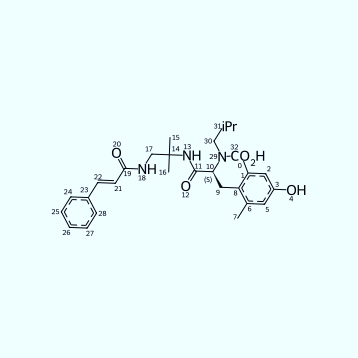 Cc1cc(O)cc(C)c1C[C@@H](C(=O)NC(C)(C)CNC(=O)C=Cc1ccccc1)N(CC(C)C)C(=O)O